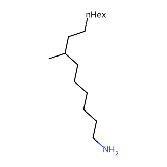 CCCCCCCCC(C)CCCCCCN